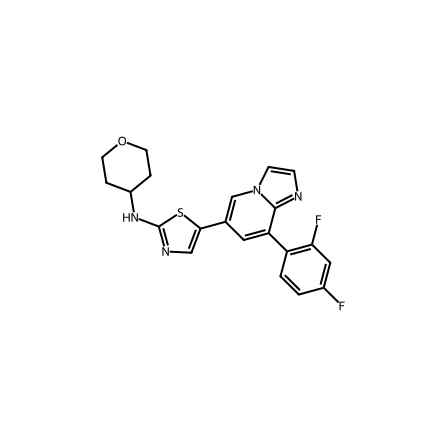 Fc1ccc(-c2cc(-c3cnc(NC4CCOCC4)s3)cn3ccnc23)c(F)c1